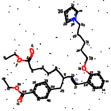 CCOC(=O)CCCCC(/C=C/c1ccccc1OCCCCCn1cccc1)Cc1ccc(C(=O)OCC)cc1